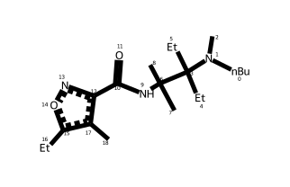 CCCCN(C)C(CC)(CC)C(C)(C)NC(=O)c1noc(CC)c1C